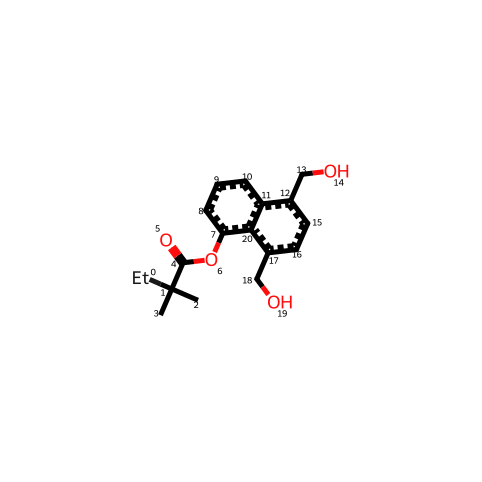 CCC(C)(C)C(=O)Oc1cccc2c(CO)ccc(CO)c12